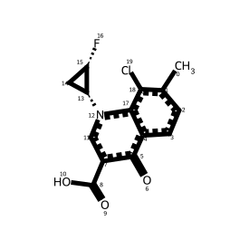 Cc1ccc2c(=O)c(C(=O)O)cn([C@@H]3C[C@@H]3F)c2c1Cl